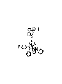 CO[C@H](CCCCn1c(-c2ccc(F)cc2)c(-c2ccccc2)c(C(=O)Nc2ccccc2)c1C(C)C)CC(=O)O